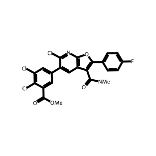 CNC(=O)c1c(-c2ccc(F)cc2)oc2nc(Cl)c(-c3cc(Cl)c(Cl)c(C(=O)OC)c3)cc12